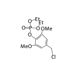 CCOP(=O)(OCC)Oc1c(OC)cc(CCl)cc1OC